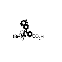 C=C(C(=O)OC(C)(C)C)C(=O)N(c1ccc(C(=O)O)cc1)c1ccc2c(c1)C(C)(C)CCC2(C)C